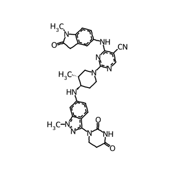 C[C@@H]1CN(c2ncc(C#N)c(Nc3ccc4c(c3)CC(=O)N4C)n2)CC[C@H]1Nc1ccc2c(N3CCC(=O)NC3=O)nn(C)c2c1